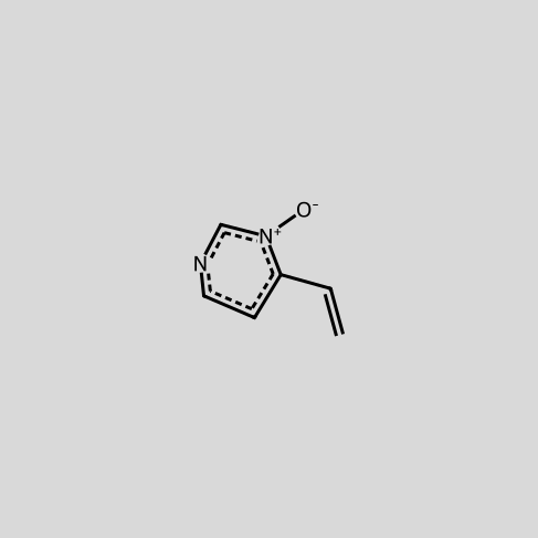 C=Cc1ccnc[n+]1[O-]